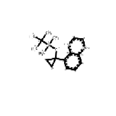 CC(C)(C)[Si](C)(C)OC1(c2cccc3nccnc23)CC1